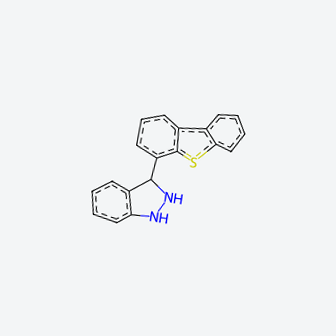 c1ccc2c(c1)NNC2c1cccc2c1sc1ccccc12